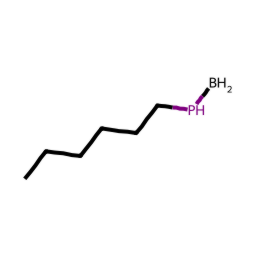 BPCCCCCC